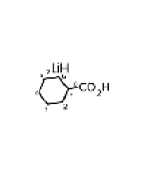 O=C(O)C1CCCCC1.[LiH]